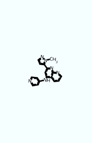 Cn1nccc1-c1cc(Nc2ccncc2)c2cccnc2n1